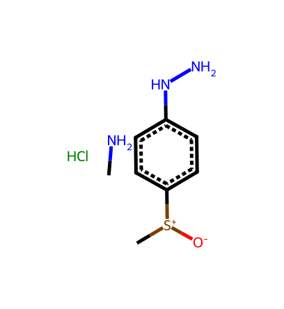 CN.C[S+]([O-])c1ccc(NN)cc1.Cl